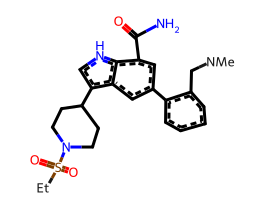 CCS(=O)(=O)N1CCC(c2c[nH]c3c(C(N)=O)cc(-c4ccccc4CNC)cc23)CC1